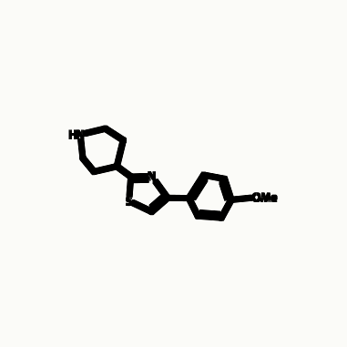 COc1ccc(-c2csc(C3CCNCC3)n2)cc1